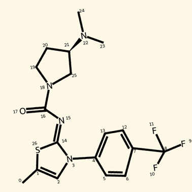 Cc1cn(-c2ccc(C(F)(F)F)cc2)/c(=N/C(=O)N2CC[C@@H](N(C)C)C2)s1